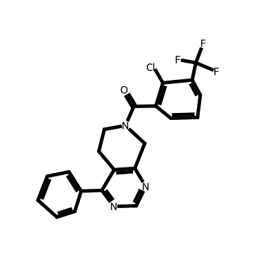 O=C(c1cccc(C(F)(F)F)c1Cl)N1CCc2c(ncnc2-c2ccccc2)C1